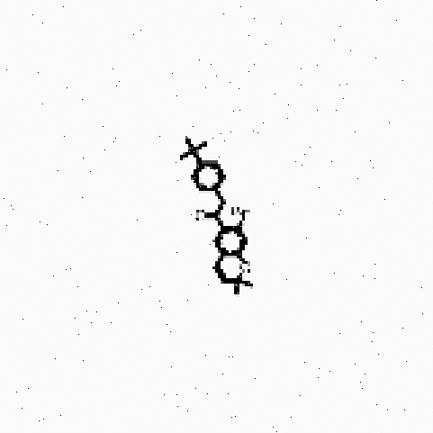 CC1(C)C=Cc2cc(C(=O)Cc3ccc(C(C)(C)C)cc3)c([18F])cc2O1